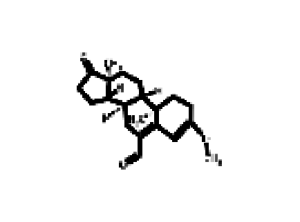 COC1=CC2=C(C=O)C[C@@H]3[C@H](CC[C@]4(C)C(=O)CC[C@@H]34)[C@@]2(C)CC1